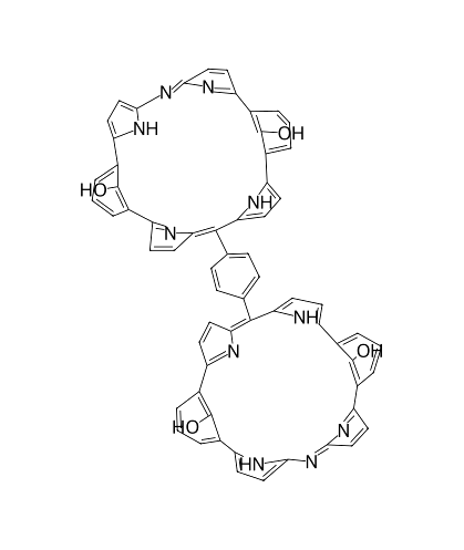 Oc1c2cccc1c1ccc(nc3nc(c4cccc(c4O)c4ccc([nH]4)c(-c4ccc(-c5c6nc(c7cccc(c7O)c7ccc(nc8nc(c9cccc(c9O)c9ccc5[nH]9)C=C8)[nH]7)C=C6)cc4)c4nc2C=C4)C=C3)[nH]1